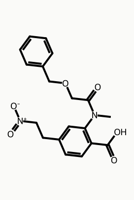 CN(C(=O)COCc1ccccc1)c1cc(CC[N+](=O)[O-])ccc1C(=O)O